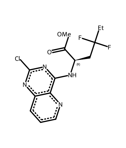 CCC(F)(F)C[C@@H](Nc1nc(Cl)nc2cccnc12)C(=O)OC